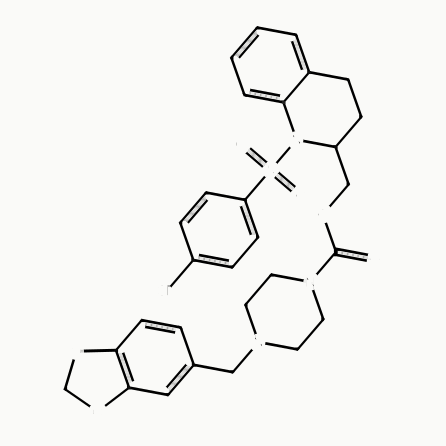 O=C(OCC1CCc2ccccc2N1S(=O)(=O)c1ccc(Cl)cc1)N1CCN(Cc2ccc3c(c2)OCO3)CC1